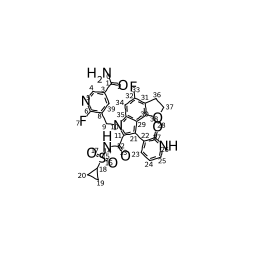 NC(=O)c1cnc(F)c(Cn2c(C(=O)NS(=O)(=O)C3CC3)c(-c3ccc[nH]c3=O)c3c4c(c(F)cc32)CCO4)c1